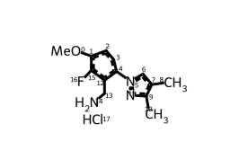 COc1ccc(-n2cc(C)c(C)n2)c(CN)c1F.Cl